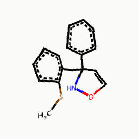 CSc1ccccc1C1(c2ccccc2)C=CON1